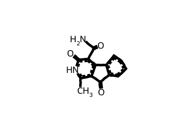 Cc1[nH]c(=O)c(C(N)=O)c2c1C(=O)c1ccccc1-2